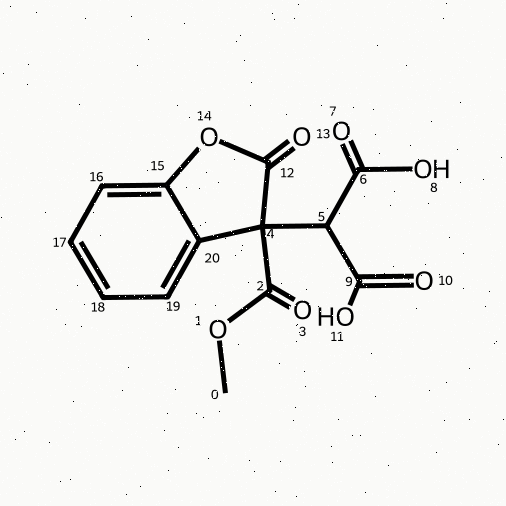 COC(=O)C1(C(C(=O)O)C(=O)O)C(=O)Oc2ccccc21